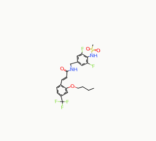 CCCCOc1cc(C(F)(F)F)ccc1C=CC(=O)NCc1cc(F)c(NS(C)(=O)=O)c(F)c1